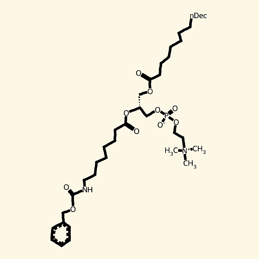 CCCCCCCCCCCCCCCCCC(=O)OC[C@H](COP(=O)([O-])OCC[N+](C)(C)C)OC(=O)CCCCCCCNC(=O)OCc1ccccc1